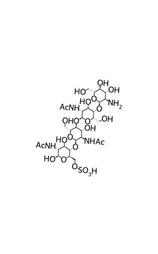 CC(=O)N[C@H]1[C@@H](O[C@H]2C(O)[C@@H](NC(C)=O)[C@H](O)O[C@@H]2COS(=O)(=O)O)O[C@H](CO)[C@@H](O[C@@H]2O[C@@H](CO)[C@@H](O[C@H]3O[C@H](CO)[C@@H](O)[C@H](O)[C@H]3N)C(O)[C@H]2NC(C)=O)[C@@H]1O